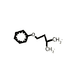 [CH2]C([CH2])CCOc1ccccc1